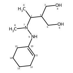 CC(C(CO)CO)N(C)NC1=CCCCC1